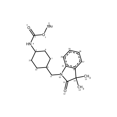 CC(C)(C)OC(=O)NC1CCC(CN2C(=O)C(C)(C)c3ccccc32)CC1